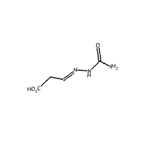 NC(=O)NN=CCC(=O)O